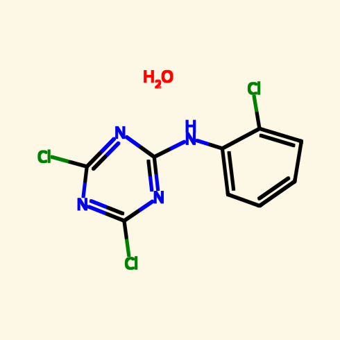 Clc1nc(Cl)nc(Nc2ccccc2Cl)n1.O